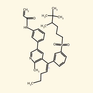 C=CC(=O)Nc1cccc(-c2cnc(C)c(/C(=C\CCC)c3cccc(S(=O)(=O)CCCC(C)C(C)(C)C)c3)c2)c1